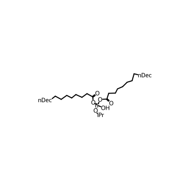 CCCCCCCCCCCCCCCCCC(=O)[O][Ti]([OH])([O]C(=O)CCCCCCCCCCCCCCCCC)[O]C(C)C